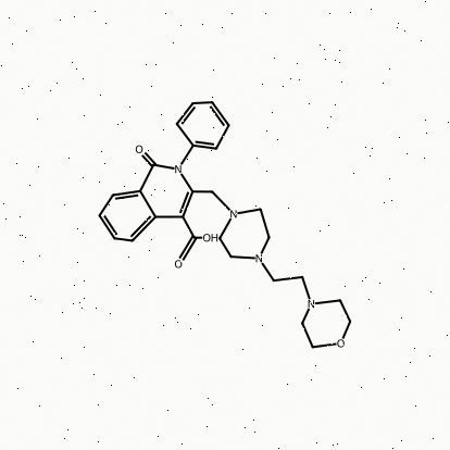 O=C(O)c1c(CN2CCN(CCN3CCOCC3)CC2)n(-c2ccccc2)c(=O)c2ccccc12